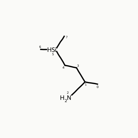 CC(N)CC[SiH](C)C